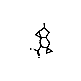 CC1CC(CC2(C(C)C(=O)O)CC2)C2(C)CC12